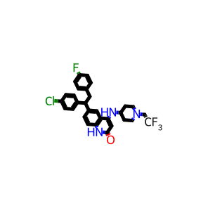 O=c1cc(NC2CCN(CC(F)(F)F)CC2)c2cc(C(Cc3ccc(F)cc3)c3ccc(Cl)cc3)ccc2[nH]1